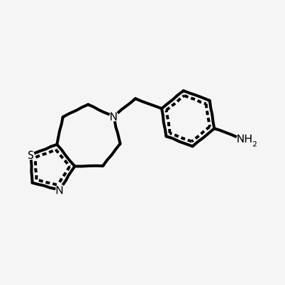 Nc1ccc(CN2CCc3ncsc3CC2)cc1